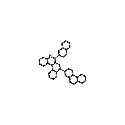 c1ccc2cc(-c3nc4ccccc4c4c3cc(-c3ccc5c(ccc6ccccc65)c3)c3ccccc34)ccc2c1